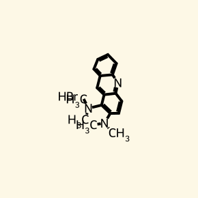 Br.CN(C)c1ccc2nc3ccccc3cc2c1N(C)C